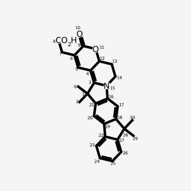 CC1(C)C2=C3C=C(CC(=O)O)C(=O)OC3CCN2c2cc3c(cc21)-c1ccccc1C3(C)C